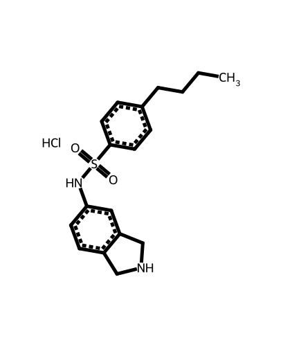 CCCCc1ccc(S(=O)(=O)Nc2ccc3c(c2)CNC3)cc1.Cl